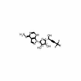 NN=c1nc[nH]c2c1cnn2[C@@H]1O[C@H](C(O)C#CC(F)(F)F)[C@@H](O)[C@H]1O